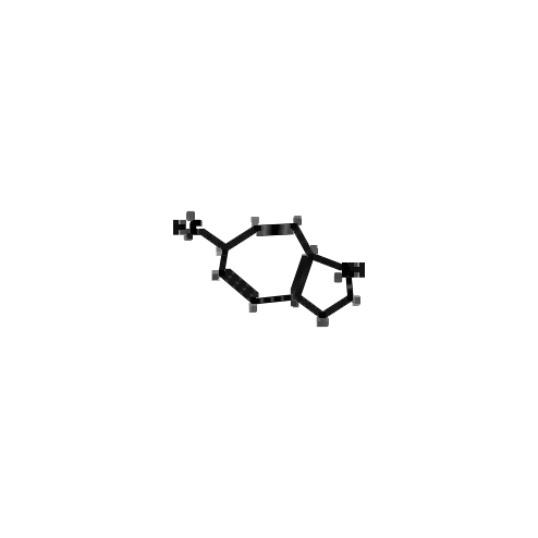 CC1C=CC2=C(C=C1)NCC2